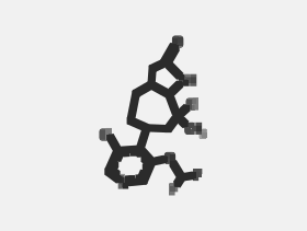 CC1(Cl)CC(c2c(Cl)cncc2OC(F)F)CCC2CC(=O)NC21